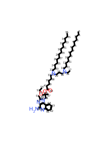 CCCCCCCCCCCCCCCN(CC)CCCN(CCCCCCCCCCCCCCC)CCCCCC(=O)OC(C)(C)Cn1c(COCC)nc2c(N)nc3ccccc3c21